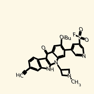 C#Cc1ccc2c(c1)[nH]c1c2c(=O)c2cc(OCC(C)C)c(-c3cncc(S(=O)(=O)F)c3)cc2n1C1CN(C)C1